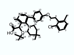 Cc1cccc(Cl)c1CCOc1ccc(-c2cnc(C)c(C(OC(C)(C)C)C(=O)O)c2N2CCC(C)(C)CC2)nc1